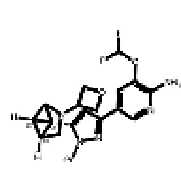 CC(C)n1nc(-c2cnc(N)c(OC(F)F)c2)cc1[C@@]12C3[C@H]1[C@H]2CN3C1COC1